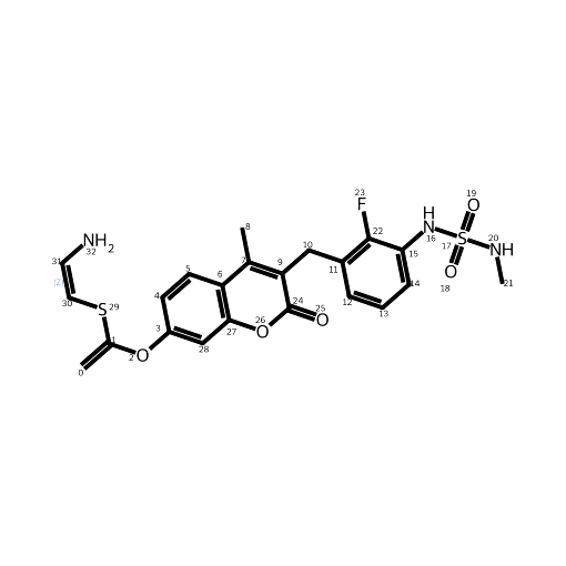 C=C(Oc1ccc2c(C)c(Cc3cccc(NS(=O)(=O)NC)c3F)c(=O)oc2c1)S/C=C\N